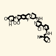 N#CC1(CNc2cccc(-c3cc(NC4CCN(Cc5cc6c(cc5F)C(=O)N(C5CCC(=O)NC5=O)C6)CC4)ncc3Cl)n2)CCOCC1